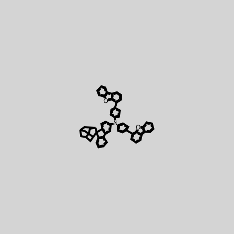 c1ccc2c(c1)-c1cc(N(c3ccc(-c4cccc5c4oc4ccccc45)cc3)c3ccc(-c4cccc5c4oc4ccccc45)cc3)ccc1C21C2CC3CC4CC1C4(C3)C2